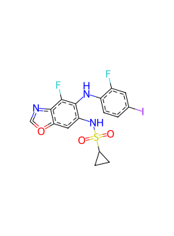 O=S(=O)(Nc1cc2ocnc2c(F)c1Nc1ccc(I)cc1F)C1CC1